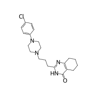 O=c1[nH]c(CCCN2CCN(c3ccc(Cl)cc3)CC2)nc2c1CCCC2